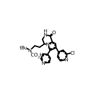 CC(C)(C)N(CCC1CNC(=O)c2cc(-c3ccnc(Cl)c3)c(-c3ccncc3)n21)C(=O)O